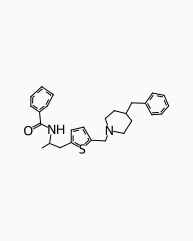 CC(Cc1ccc(CN2CCC(Cc3ccccc3)CC2)s1)NC(=O)c1ccccc1